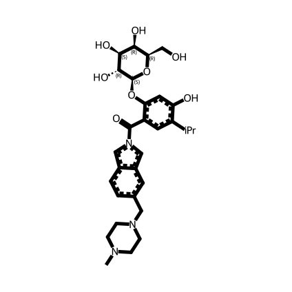 CC(C)c1cc(C(=O)n2cc3ccc(CN4CCN(C)CC4)cc3c2)c(O[C@@H]2O[C@H](CO)[C@H](O)[C@H](O)[C@H]2O)cc1O